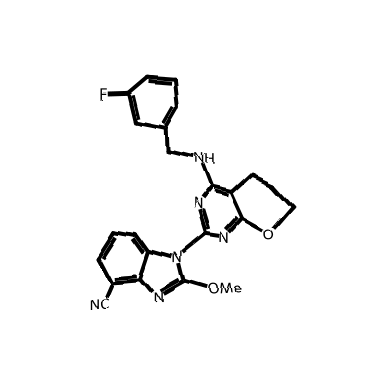 COc1nc2c(C#N)cccc2n1-c1nc(NCc2cccc(F)c2)c2c(n1)OCCC2